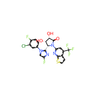 O=C1[C@@H](O)[C@@H](O)[C@@H](c2nc(F)cn2-c2ccc(F)c(Cl)c2)N1c1cc(C(F)(F)F)c2ccsc2n1